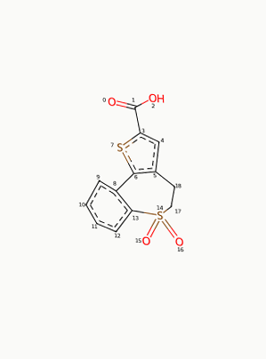 O=C(O)c1cc2c(s1)-c1ccccc1S(=O)(=O)CC2